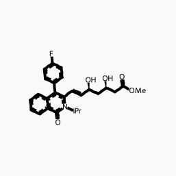 COC(=O)C[C@H](O)C[C@H](O)C=Cc1c(-c2ccc(F)cc2)c2ccccc2c(=O)n1C(C)C